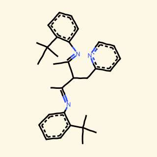 C/C(=N\c1ccccc1C(C)(C)C)C(Cc1ccccn1)/C(C)=N/c1ccccc1C(C)(C)C